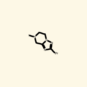 CC(C)c1nc2n(n1)CCN(I)C2